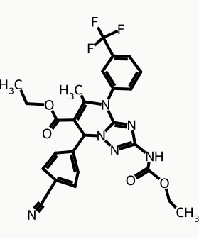 CCOC(=O)Nc1nc2n(n1)C(c1ccc(C#N)cc1)C(C(=O)OCC)=C(C)N2c1cccc(C(F)(F)F)c1